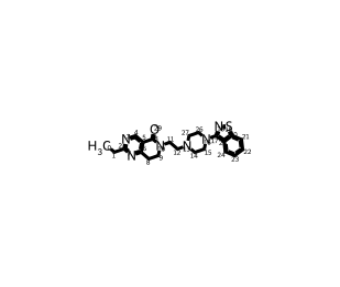 CCc1ncc2c(n1)CCN(CCN1CCN(c3nsc4ccccc34)CC1)C2=O